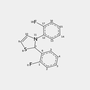 Fc1ccccc1C1SC=CN1c1ccccc1F